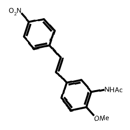 COc1ccc(C=Cc2ccc([N+](=O)[O-])cc2)cc1NC(C)=O